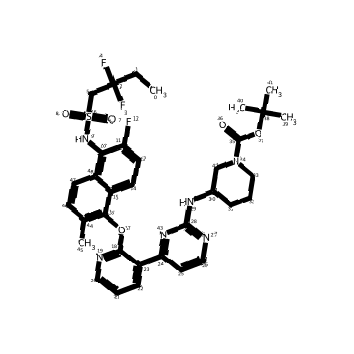 CCC(F)(F)CS(=O)(=O)Nc1c(F)ccc2c(Oc3ncccc3-c3ccnc(NC4CCCN(C(=O)OC(C)(C)C)C4)n3)c(C)ccc12